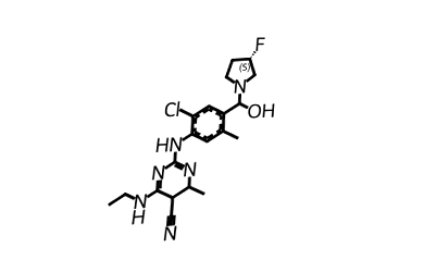 CCNC1=NC(Nc2cc(C)c(C(O)N3CC[C@H](F)C3)cc2Cl)=NC(C)C1C#N